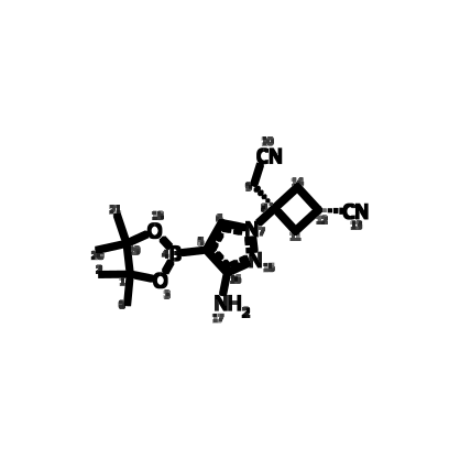 CC1(C)OB(c2cn([C@]3(CC#N)C[C@@H](C#N)C3)nc2N)OC1(C)C